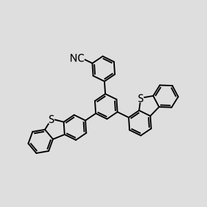 N#Cc1cccc(-c2cc(-c3ccc4c(c3)sc3ccccc34)cc(-c3cccc4c3sc3ccccc34)c2)c1